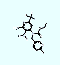 CCOC(=O)N(Cc1ccc(C)nc1)c1cc(C(F)(F)F)nc(N)c1[N+](=O)[O-]